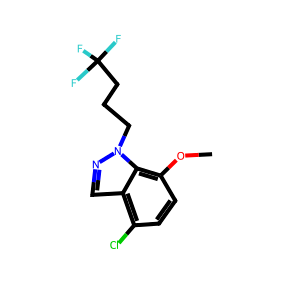 COc1ccc(Cl)c2cnn(CCCC(F)(F)F)c12